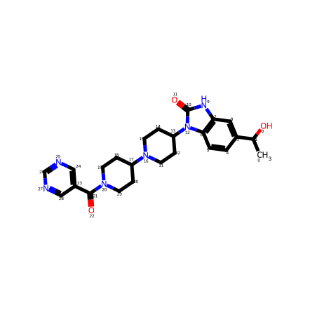 CC(O)c1ccc2c(c1)[nH]c(=O)n2C1CCN(C2CCN(C(=O)c3cncnc3)CC2)CC1